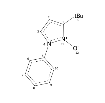 CC(C)(C)c1ccn(-c2ccccc2)[n+]1[O-]